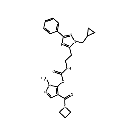 Cn1ncc(C(=O)N2CCC2)c1OC(=O)NCCc1nc(-c2ccccc2)nn1CC1CC1